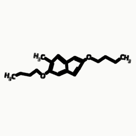 CCCCOc1ccc2cc(OCCCC)c(C)cc2c1